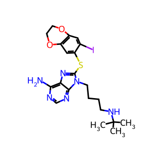 CC(C)(C)NCCCCn1c(Sc2cc3c(cc2I)OCCO3)nc2c(N)ncnc21